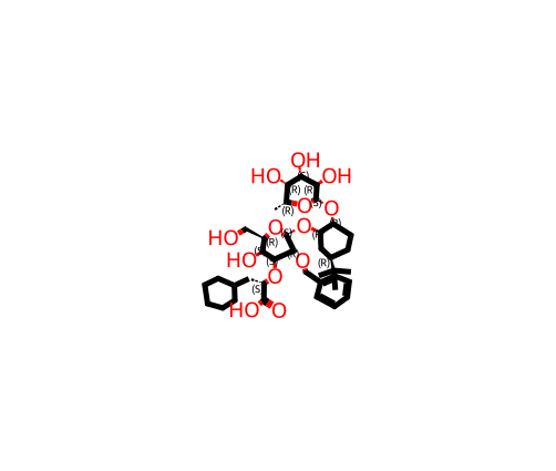 C[C@H]1O[C@@H](O[C@@H]2CC[C@@H](C(C)(C)C)C[C@H]2O[C@H]2O[C@H](CO)[C@H](O)[C@H](O[C@@H](CC3CCCCC3)C(=O)O)[C@H]2OCc2ccccc2)[C@H](O)[C@@H](O)[C@H]1O